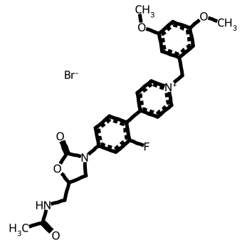 COc1cc(C[n+]2ccc(-c3ccc(N4CC(CNC(C)=O)OC4=O)cc3F)cc2)cc(OC)c1.[Br-]